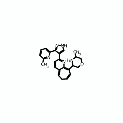 Cc1cccc(-c2n[nH]cc2-c2ccc3c(n2)=C(C2COCC(C)N2)C=CCC=3)n1